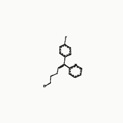 Fc1ccc(C(=CCCCCl)c2ccccn2)cc1